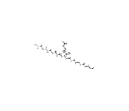 CCCCCCCCCCCCN(CCCCCCCCCCCC)C(=O)OCCCC